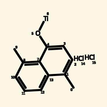 Cc1ccc([O][Ti])c2c(C)cccc12.Cl.Cl